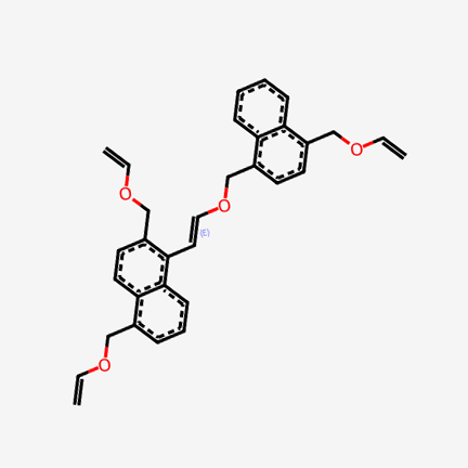 C=COCc1ccc2c(COC=C)cccc2c1/C=C/OCc1ccc(COC=C)c2ccccc12